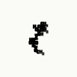 COCCS(=O)(=O)NCCNC(=O)OC(C)(C)C